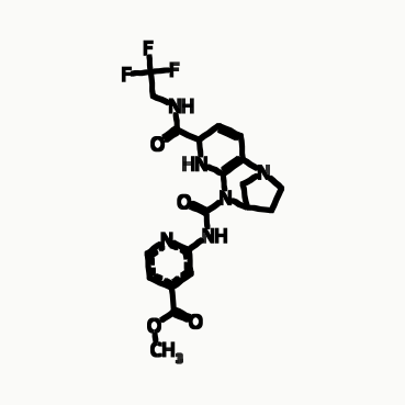 COC(=O)c1ccnc(NC(=O)N2C3=C(C=CC(C(=O)NCC(F)(F)F)N3)N3CCC2C3)c1